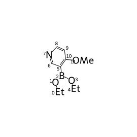 CCOB(OCC)c1cnccc1OC